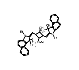 CCN1/C(=C/C2C(O)C(/C=C3/N(CC)c4ccc5ccccc5c4C3(C)C)C2OC)C(C)(C)c2c1ccc1ccccc21